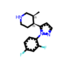 C[C@@H]1CNCC[C@@H]1c1ccnn1-c1ccc(F)cc1F